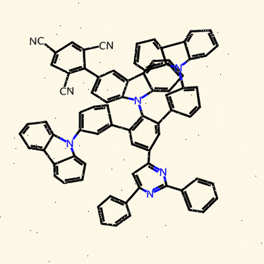 N#Cc1cc(C#N)c(-c2ccc3c(c2)c2ccccc2n3-c2c(-c3cccc(-n4c5ccccc5c5ccccc54)c3)cc(-c3cc(-c4ccccc4)nc(-c4ccccc4)n3)cc2-c2cccc(-n3c4ccccc4c4ccccc43)c2)c(C#N)c1